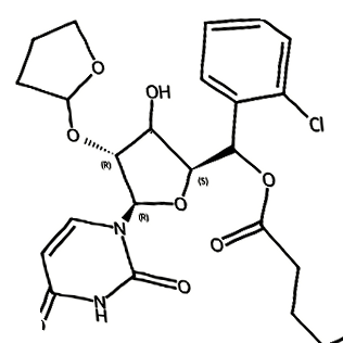 CC(=O)CCC(=O)OC(c1ccccc1Cl)[C@H]1O[C@@H](n2ccc(=O)[nH]c2=O)[C@H](OC2CCCO2)[C]1O